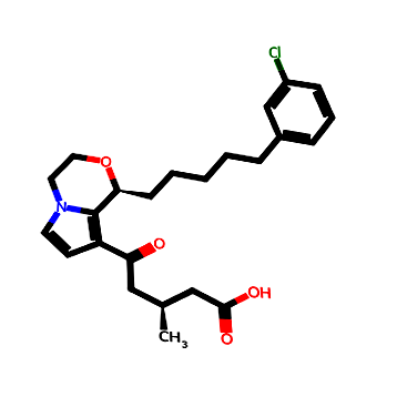 C[C@H](CC(=O)O)CC(=O)c1ccn2c1[C@H](CCCCCc1cccc(Cl)c1)OCC2